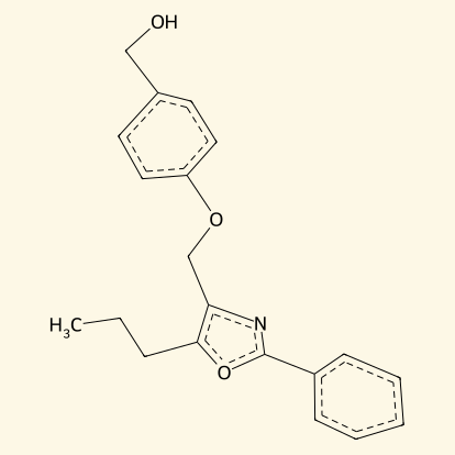 CCCc1oc(-c2ccccc2)nc1COc1ccc(CO)cc1